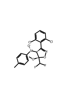 CO[C@]1(C(F)F)ON=C(c2c(Cl)cccc2Cl)[C@@H]1[S@@+]([O-])c1ccc(C)cc1